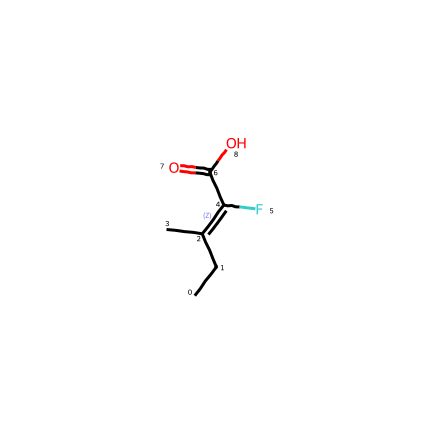 CC/C(C)=C(\F)C(=O)O